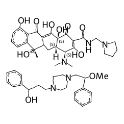 CN(C)[C@@H]1C(O)=C(C(=O)NCN2CCCC2)C(=O)[C@@]2(O)C(O)=C3C(=O)c4c(O)cccc4[C@@](C)(O)C3C[C@@H]12.COC(CN1CCN(CCC(O)c2ccccc2)CC1)c1ccccc1